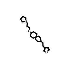 c1cc(CCC2CCC3(CC2)CCC(OCCCN2CCCC2)CC3)co1